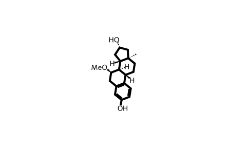 CO[C@@H]1Cc2cc(O)ccc2[C@H]2CC[C@]3(C)C[C@@H](O)C[C@H]3[C@@H]21